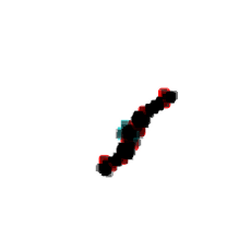 C=CC(=O)OCCCCCCOc1ccc(C(=O)Oc2c(F)c(F)c(OC(=O)c3ccc(OCCCOC(=O)C(=C)C)cc3)c(F)c2F)cc1